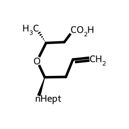 C=CC[C@@H](CCCCCCC)O[C@H](C)CC(=O)O